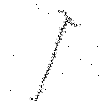 NC(COCCC=O)(COCCC=O)COCCC(=O)NCCOCCOCCOCCOCCOCCOCCOCCOCCOCCOCCOCCOCCC=O